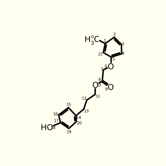 Cc1cccc(OCC(=O)OCCCc2ccc(O)cc2)c1